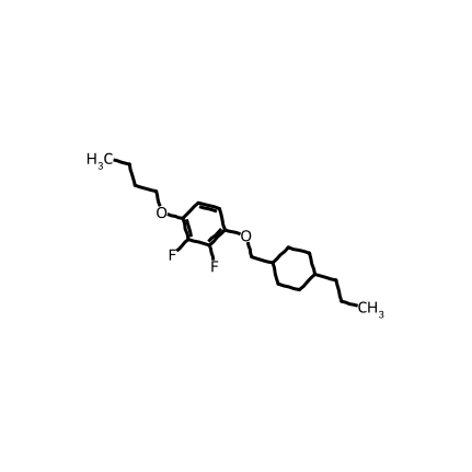 CCCCOc1ccc(OCC2CCC(CCC)CC2)c(F)c1F